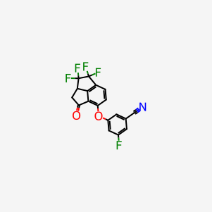 N#Cc1cc(F)cc(Oc2ccc3c4c2C(=O)CC4C(F)(F)C3(F)F)c1